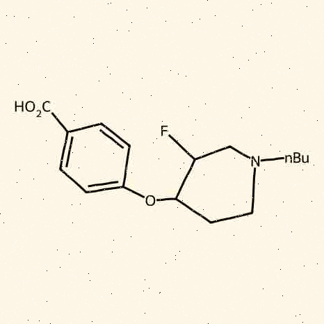 CCCCN1CCC(Oc2ccc(C(=O)O)cc2)C(F)C1